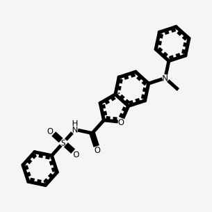 CN(c1ccccc1)c1ccc2cc(C(=O)NS(=O)(=O)c3ccccc3)oc2c1